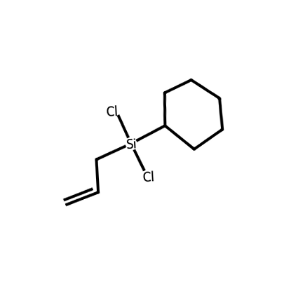 C=CC[Si](Cl)(Cl)C1CCCCC1